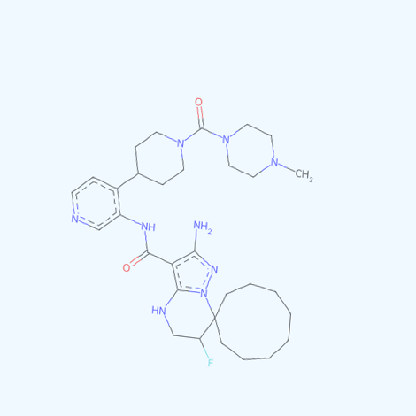 CN1CCN(C(=O)N2CCC(c3ccncc3NC(=O)c3c(N)nn4c3NCC(F)C43CCCCCCCC3)CC2)CC1